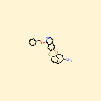 NC1CC[C@]2(Oc3cc4ccnc(OCc5ccccc5)c4cc3Cl)CC3CC(C2)C1C3